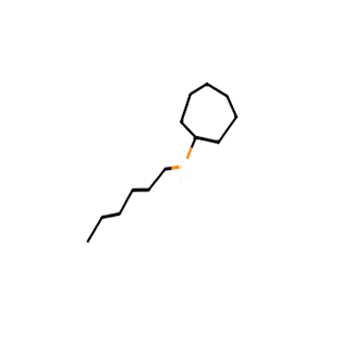 CCCCCCPC1CCCCCC1